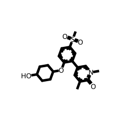 Cc1cc(-c2cc(S(C)(=O)=O)ccc2OC2CCC(O)CC2)cn(C)c1=O